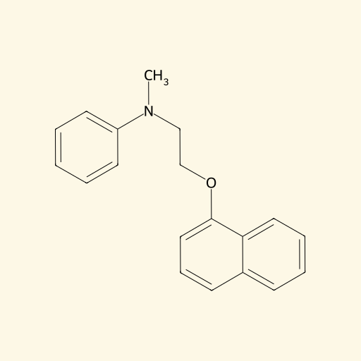 CN(CCOc1cccc2ccccc12)c1ccccc1